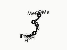 COc1ccc(CCO[C@H]2CCCC[C@@H]2N2CC[C@@H](OCCc3ccc(OCC(O)CNC(C)C)cc3)C2)cc1OC